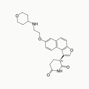 O=C1CC[C@@H](c2coc3ccc4cc(OCCNC5CCOCC5)ccc4c23)C(=O)N1